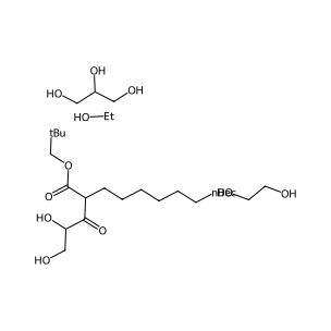 CCCCCCCCCCCCCCCCC(C(=O)OCC(C)(C)C)C(=O)C(O)CO.CCO.OCC(O)CO.OCCO